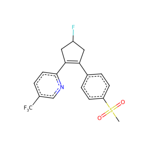 CS(=O)(=O)c1ccc(C2=C(c3ccc(C(F)(F)F)cn3)CC(F)C2)cc1